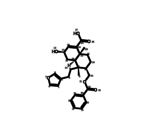 C[C@]1(CCc2ccoc2)[C@H](COC(=O)c2ccccc2)CC[C@@]2(C)C(C(=O)O)=C[C@H](O)C[C@H]12